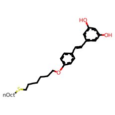 CCCCCCCCSCCCCCCOc1ccc(/C=C/c2cc(O)cc(O)c2)cc1